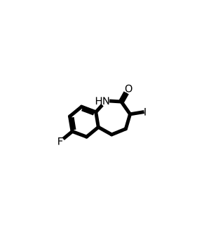 O=C1NC2=CC=C(F)CC2CCC1I